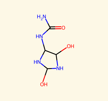 NC(=O)NC1NC(O)NC1O